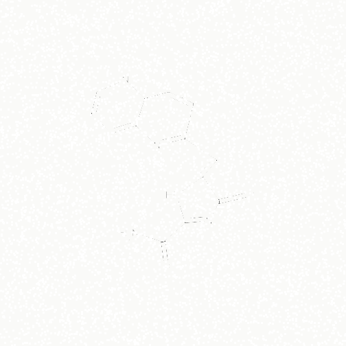 NC(=O)C1=NC(=O)C(=Cc2ccc3ncccc3n2)N1